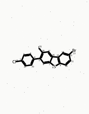 Clc1ccc(-c2cc3sc4ccc(Br)cc4c3cc2I)cc1